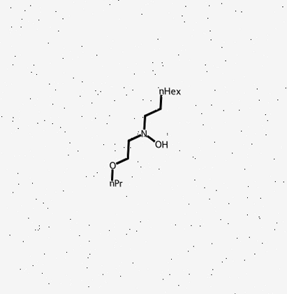 CCCCCCCCN(O)CCOCCC